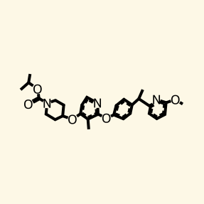 COc1cccc(C(C)c2ccc(Oc3nccc(OC4CCN(C(=O)OC(C)C)CC4)c3C)cc2)n1